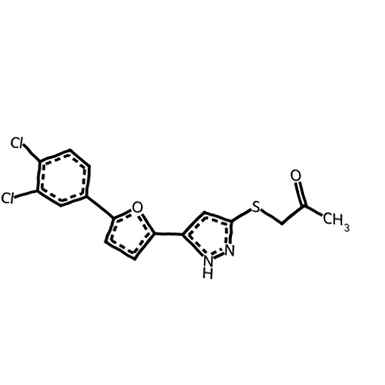 CC(=O)CSc1cc(-c2ccc(-c3ccc(Cl)c(Cl)c3)o2)[nH]n1